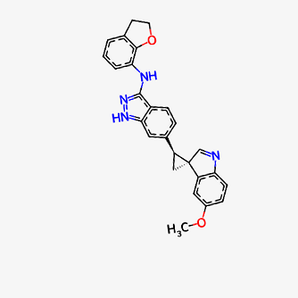 COc1ccc2c(c1)[C@@]1(C=N2)C[C@H]1c1ccc2c(Nc3cccc4c3OCC4)n[nH]c2c1